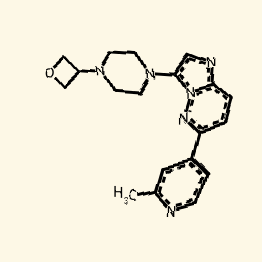 Cc1cc(-c2ccc3ncc(N4CCN(C5COC5)CC4)n3n2)ccn1